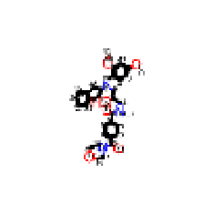 COc1ccc(CN(C[C@H](O)CN(C)C(=O)c2ccc(C(=O)N3CCOCC3)cc2)C2Cc3ccccc3C2)c(OC)c1